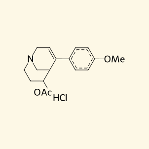 COc1ccc(C2=CCN3CCC(OC(C)=O)C2C3)cc1.Cl